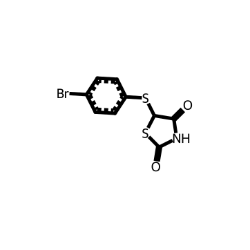 O=C1NC(=O)C(Sc2ccc(Br)cc2)S1